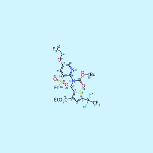 CCOC(=O)c1cc(C(F)(F)C(F)(F)F)sc1CN(C(=O)OC(C)(C)C)c1ncc(OCC(F)(F)F)cc1S(=O)(=O)CC